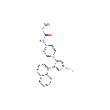 CNCC(=O)Nc1ccc(-n2cc(C(F)(F)F)cc2-c2cccc3ccccc23)cc1